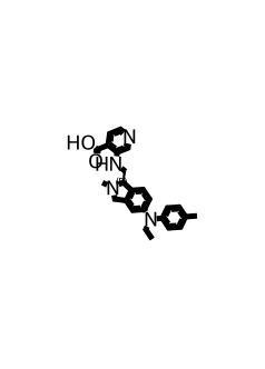 CCN(c1ccc(C)cc1)c1ccc2c(c1)CN(C)[C@H]2CNc1cnccc1C(=O)O